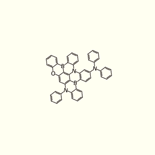 c1ccc(N(c2ccccc2)c2ccc3c(c2)N2c4ccccc4B4c5ccccc5Oc5cc6c(c2c54)B3c2ccccc2N6c2ccccc2)cc1